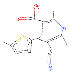 CC1=C(C#N)C(c2ccc(C)s2)C(C(=O)O)=C(C)N1